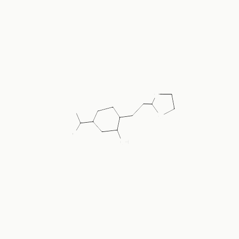 CC(C)C1CCC(CCC2OCCO2)C(C)C1